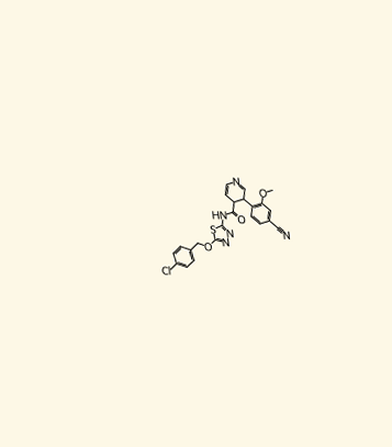 COc1cc(C#N)ccc1C1C=NC=CC1C(=O)Nc1nnc(OCc2ccc(Cl)cc2)s1